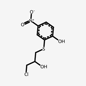 O=[N+]([O-])c1ccc(O)c(SCC(O)CCl)c1